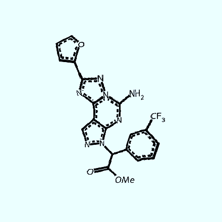 COC(=O)C(c1cccc(C(F)(F)F)c1)n1ncc2c1nc(N)n1nc(-c3ccco3)nc21